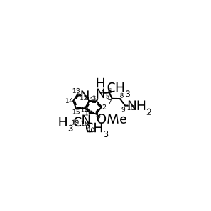 COc1cc(NC(C)CCCN)c2ncccc2c1N(C)C